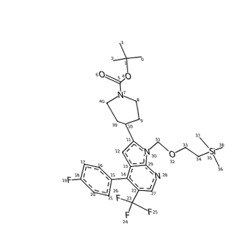 CC(C)(C)OC(=O)N1CCC(c2cc3c(-c4ccc(F)cc4)c(C(F)(F)F)cnc3n2COCC[Si](C)(C)C)CC1